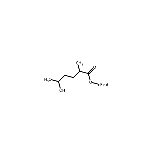 CCCCCOC(=O)C(C)CCC(C)O